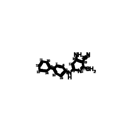 Bc1nc(Nc2ccc(-c3ccccc3)cc2)cc(N)c1C#N